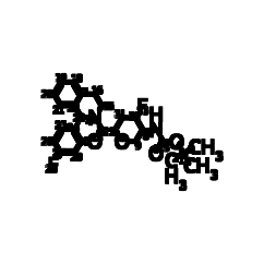 CC(C)(C)OC(=O)N[C@@H]1CO[C@@H](C(=O)N2CCc3ccccc3[C@@H]2c2ccc(F)cc2)C[C@H]1F